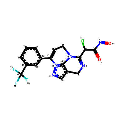 O=NC(=O)C(Cl)C1=NCc2cnn3c2N1CC=C3c1cccc(C(F)(F)F)c1